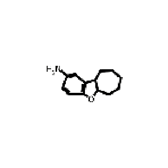 Nc1ccc2c(c1)C1CCCCCC1O2